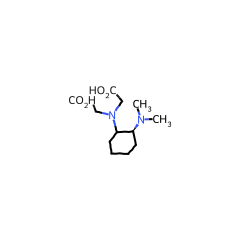 CN(C)[C@H]1CCCCC1N(CC(=O)O)CC(=O)O